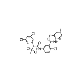 Cc1cnc(NC(=O)c2cc(NC(=O)C(c3cc(Cl)cc(Cl)c3)C(C)(Cl)Cl)ccc2Cl)c(F)c1